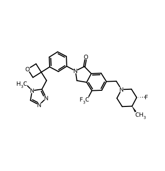 C[C@H]1CCN(Cc2cc3c(c(C(F)(F)F)c2)CN(c2cccc(C4(Cc5nncn5C)COC4)c2)C3=O)C[C@@H]1F